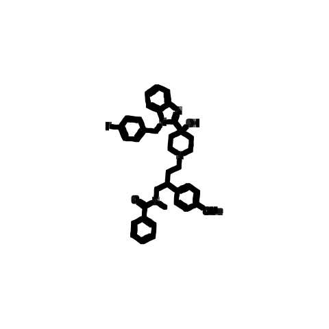 COc1ccc(C(CCN2CCC(O)(c3nc4ccccc4n3Cc3ccc(F)cc3)CC2)CN(C)C(=O)c2ccccc2)cc1